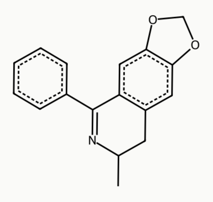 CC1Cc2cc3c(cc2C(c2ccccc2)=N1)OCO3